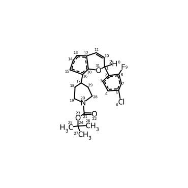 [2H]C1(c2ccc(Cl)cc2F)C=Cc2cccc(C3CCN(C(=O)OC(C)(C)C)CC3)c2O1